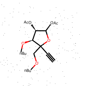 C#CC1(COCCCC)OC(OC(C)=O)[C@H](OC(C)=O)[C@@H]1OCCCC